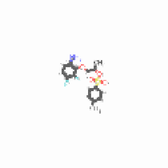 Cc1ccc(S(=O)(=O)OC(C)COc2c(N)ccc(F)c2F)cc1